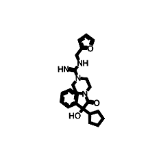 N=C(NCc1ccco1)N1CCN(C(=O)C(O)(c2ccccc2)C2CCCC2)CC1